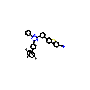 N#Cc1ccc2c(c1)sc1cc(-c3cccc(-c4nc(-c5ccccc5)nc(-c5ccc(C67C[C@H]8C[C@H](C6)C[C@@H](C7)C8)cc5)n4)c3)ccc12